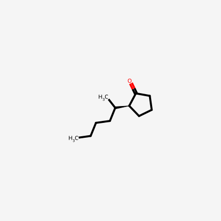 CCCCC(C)[C@@H]1CCCC1=O